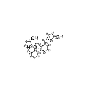 OC1CCN(Cc2cccc(-c3cccc(CN4CCC(O)C4)c3Cl)c2Cl)C1